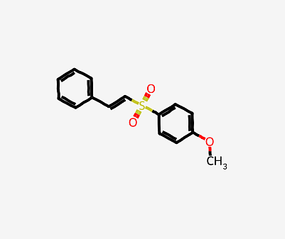 COc1ccc(S(=O)(=O)C=Cc2ccccc2)cc1